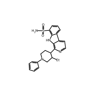 CCC1CN(c2ccccc2)CCC1c1nccc2c1[nH]c1c(S(N)(=O)=O)cccc12